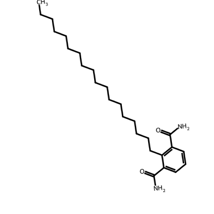 CCCCCCCCCCCCCCCCCCc1c(C(N)=O)cccc1C(N)=O